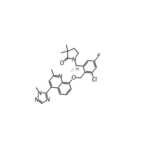 Cc1cc(-c2ncnn2C)c2cccc(OCc3c(Cl)cc(F)cc3[C@H](C)N3CCC(C)(C)C3=O)c2n1